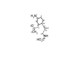 C[S+]([O-])Cc1cc(N)ccc1C1CC1CNC(=O)O